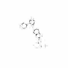 O[C@@H]1CCCC[C@H]1Nc1nc2ccc(Oc3ccncc3-c3ccncc3)cc2s1